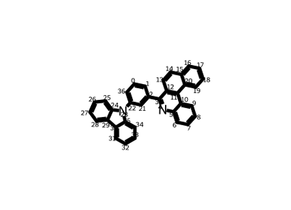 c1cc(-c2nc3ccccc3c3c2ccc2ccccc23)cc(-n2c3ccccc3c3ccccc32)c1